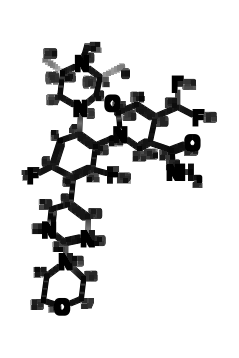 C[C@@H]1CN(c2cc(F)c(-c3cnc(N4CCOCC4)nc3)c(F)c2-n2cc(C(N)=O)c(C(F)F)cc2=O)C[C@H](C)N1C